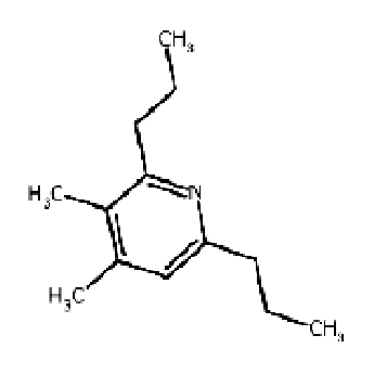 CCCc1cc(C)c(C)c(CCC)n1